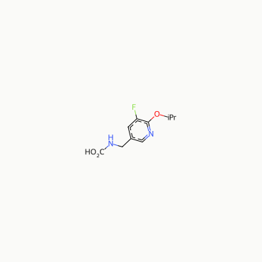 CC(C)Oc1ncc(CNC(=O)O)cc1F